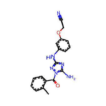 Cc1ccccc1C(=O)n1nc(Nc2cccc(OCC#N)c2)nc1N